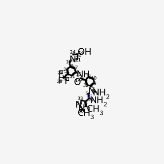 Cc1c(/C(N)=C/N(N)c2cccc(C(=O)Nc3cc(CN4CC(O)C4)cc(C(F)(F)F)c3)c2)cnn1C